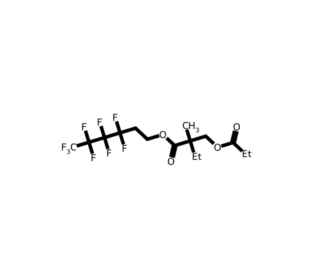 CCC(=O)OCC(C)(CC)C(=O)OCCC(F)(F)C(F)(F)C(F)(F)C(F)(F)F